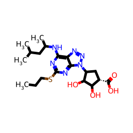 CCCSc1nc(NC(C)CC(C)C)c2nnn(C3C[C@H](C(=O)O)C(O)C3O)c2n1